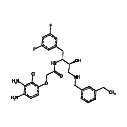 CCc1cccc(CNC[C@H](O)[C@@H](Cc2cc(F)cc(F)c2)NC(=O)COc2ccc(N)c(N)c2Cl)c1